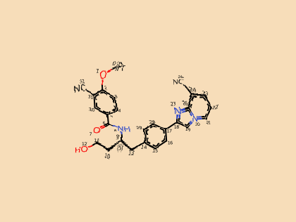 CC(C)Oc1ccc(C(=O)N[C@H](CCO)Cc2ccc(-c3cn4cccc(C#N)c4n3)cc2)cc1C#N